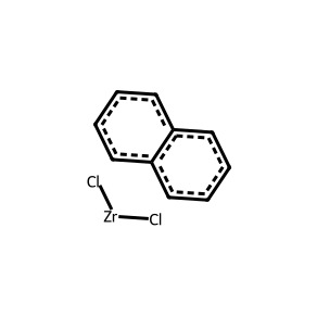 [Cl][Zr][Cl].c1ccc2ccccc2c1